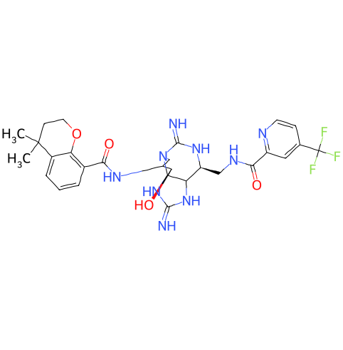 CC1(C)CCOc2c(C(=O)NC3CN4C(=N)N[C@@H](CNC(=O)c5cc(C(F)(F)F)ccn5)C5NC(=N)NC54[C@@H]3O)cccc21